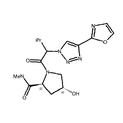 CNC(=O)[C@@H]1C[C@@H](O)CN1C(=O)C(C(C)C)n1cc(-c2ncco2)nn1